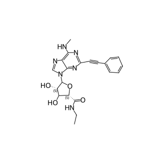 CCNC(=O)[C@H]1OC(n2cnc3c(NC)nc(C#Cc4ccccc4)nc32)[C@@H](O)C1O